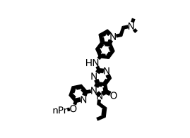 C/C=C\Cn1c(=O)c2cnc(Nc3ccc4c(ccn4CCN(C)C)c3)nc2n1-c1cccc(OCCC)n1